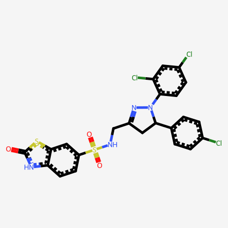 O=c1[nH]c2ccc(S(=O)(=O)NCC3=NN(c4ccc(Cl)cc4Cl)C(c4ccc(Cl)cc4)C3)cc2s1